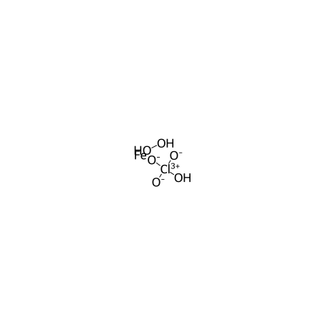 OO.[Fe].[O-][Cl+3]([O-])([O-])O